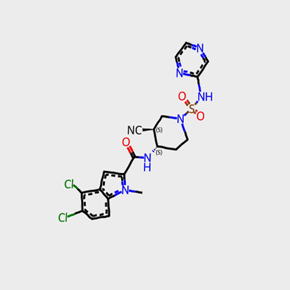 Cn1c(C(=O)N[C@H]2CCN(S(=O)(=O)Nc3cnccn3)C[C@@H]2C#N)cc2c(Cl)c(Cl)ccc21